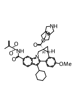 C=C(C)S(=O)(=O)NC(=O)c1ccc2c(C3CCCCC3)c3n(c2c1)C[C@@]1(C(=O)N2CC45CNCC4(COC5)C2)C[C@H]1c1cc(OC)ccc1-3